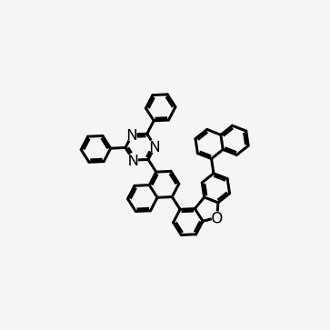 C1=CC2=C(c3nc(-c4ccccc4)nc(-c4ccccc4)n3)C=CC(c3cccc4oc5ccc(-c6cccc7ccccc67)cc5c34)C2C=C1